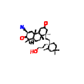 CC1CC(C)(C)CC[C@]1(CCCO)CC[C@]1(C)CC(=O)C=C2[C@@]3(C)C=C(C#N)C(=O)C(C)(C)[C@@H]3CC[C@]21C